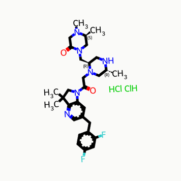 C[C@@H]1CN(CC(=O)N2CC(C)(C)c3ncc(Cc4ccc(F)cc4F)cc32)[C@@H](CN2C[C@H](C)N(C)CC2=O)CN1.Cl.Cl